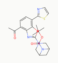 CC(=O)c1ccc(-c2nccs2)c2oc(N3CC4CC(C3)N4C(=O)OC(C)(C)C)nc12